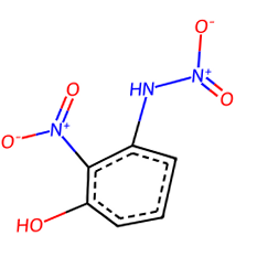 O=[N+]([O-])Nc1cccc(O)c1[N+](=O)[O-]